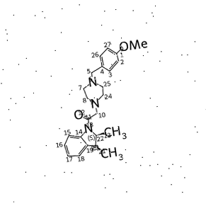 COc1ccc(CN2CCN(CC(=O)N3c4ccccc4[C@H](C)[C@@H]3C)CC2)cc1